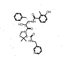 Cc1c(O)cccc1C(=O)N[C@@H](Cc1ccccc1)[C@H](O)C(=O)N1CSC(C)(C)[C@H]1C(=O)NCc1cccnc1